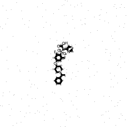 CC(c1ccccc1)N1CCC(Oc2cc(F)c(S(=O)(=O)N(C(=O)O)c3cscn3)c(F)c2)CC1